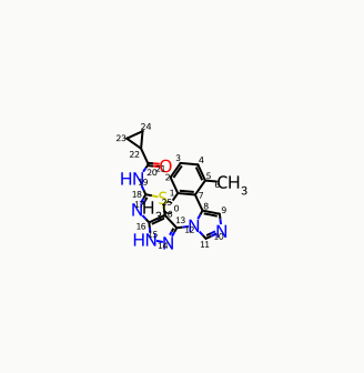 Cc1cccc(C)c1-c1cncn1-c1n[nH]c2nc(NC(=O)C3CC3)sc12